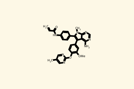 C=CC(=O)Nc1ccc(-c2c(-c3ccc(Oc4ncc(C)cn4)c(OC)c3)c3c(N)ncnc3n2C)cc1